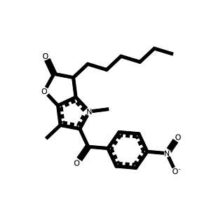 CCCCCCC1C(=O)Oc2c(C)c(C(=O)c3ccc([N+](=O)[O-])cc3)n(C)c21